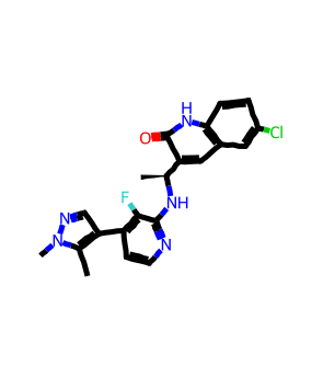 Cc1c(-c2ccnc(N[C@@H](C)c3cc4cc(Cl)ccc4[nH]c3=O)c2F)cnn1C